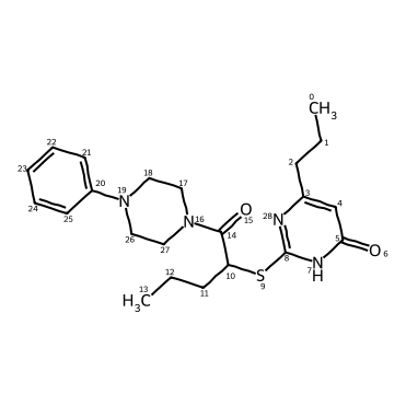 CCCc1cc(=O)[nH]c(SC(CCC)C(=O)N2CCN(c3ccccc3)CC2)n1